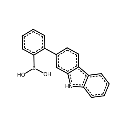 OB(O)c1ccccc1-c1ccc2c(c1)[nH]c1ccccc12